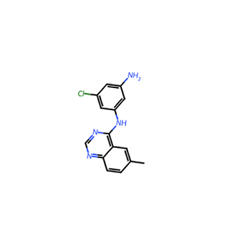 Cc1ccc2ncnc(Nc3cc(N)cc(Cl)c3)c2c1